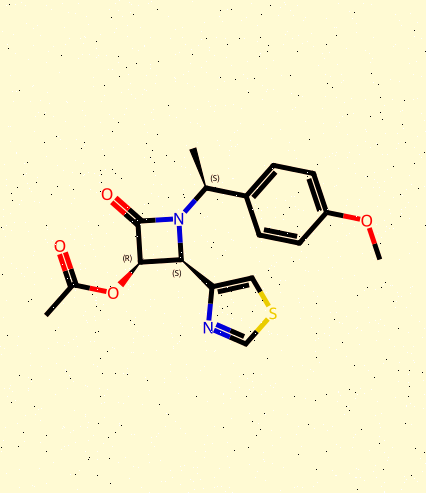 COc1ccc([C@H](C)N2C(=O)[C@H](OC(C)=O)[C@@H]2c2cscn2)cc1